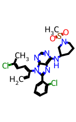 C=C/C(=C\C=C(/C)Cl)n1c(-c2ccccc2Cl)nc2c(NC3CCCN(S(C)(=O)=O)C3)ncnc21